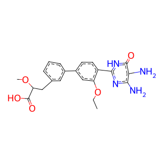 CCOc1cc(-c2cccc(CC(OC)C(=O)O)c2)ccc1-c1nc(N)c(N)c(=O)[nH]1